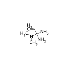 C=CC(N)(N)N(C)C